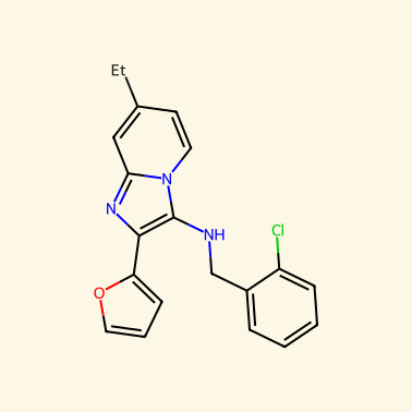 CCc1ccn2c(NCc3ccccc3Cl)c(-c3ccco3)nc2c1